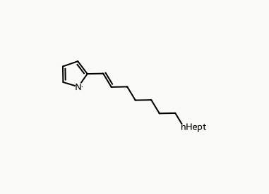 CCCCCCCCCCCCC=CC1=CC=C[N]1